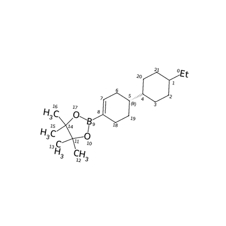 CCC1CCC([C@H]2CC=C(B3OC(C)(C)C(C)(C)O3)CC2)CC1